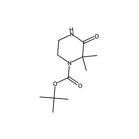 CC(C)(C)OC(=O)N1CCNC(=O)C1(C)C